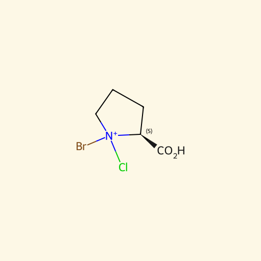 O=C(O)[C@@H]1CCC[N+]1(Cl)Br